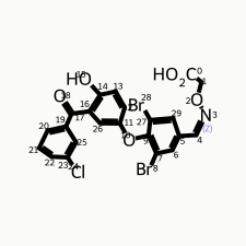 O=C(O)CO/N=C\c1cc(Br)c(Oc2ccc(O)c(C(=O)c3cccc(Cl)c3)c2)c(Br)c1